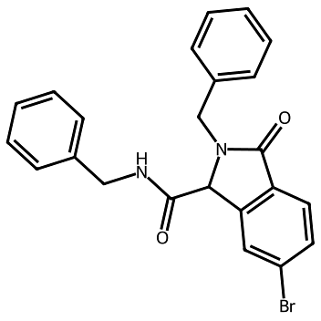 O=C(NCc1ccccc1)C1c2cc(Br)ccc2C(=O)N1Cc1ccccc1